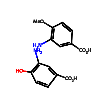 COc1ccc(C(=O)O)cc1N.Nc1cc(C(=O)O)ccc1O